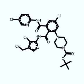 CC(C)(C)OC(=O)N1CCN(c2cc(Cl)cc(C(=O)Nc3ccc(Cl)cn3)c2C(=O)Nc2scc(CCl)c2Cl)CC1